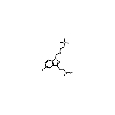 CC(C)N(C)CCc1nn(COCC[Si](C)(C)C)c2ccc(F)cc12